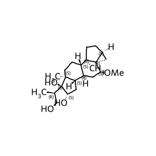 CO[C@H]1C[C@H]2[C@@H]3C[C@H](O)[C@](O)([C@H](C)CO)[C@@]3(C)CC[C@@H]2[C@@]2(C)CC[C@H]3C[C@]312